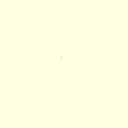 c1ccc(C[I+]c2ccccc2)cc1